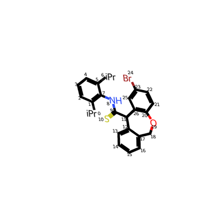 CC(C)c1cccc(C(C)C)c1NC(=S)C1c2ccccc2COc2ccc(Br)cc21